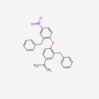 C=C(C)c1ccc(Oc2ccc([N+](=O)[O-])cc2Cc2ccccc2)c(Cc2ccccc2)c1